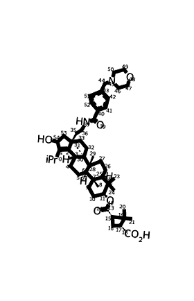 CC(C)C1=C2[C@H]3CC[C@@H]4[C@@]5(C)CC[C@H](OC(=O)[C@H]6C[C@@H](C(=O)O)C6(C)C)C(C)(C)[C@@H]5CC[C@@]4(C)[C@]3(C)CC[C@@]2(CCNC(=O)c2ccc(CN3CCOCC3)cc2)CC1O